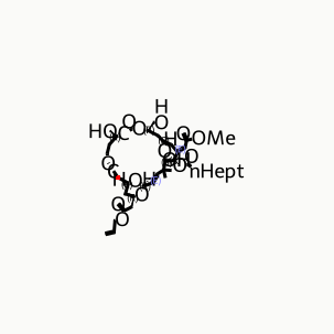 C=CCOC(=O)C[C@H]1C[C@H]2CCOCC[C@@H](O)CC(=O)O[C@@H](CO)C[C@@H]3C/C(=C\C(=O)OC)[C@H](OC(=O)CCCCCCC)[C@@](O)(O3)C(C)(C)/C=C/[C@H](O2)O1